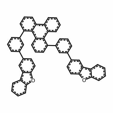 c1cc(-c2ccc3oc4ccccc4c3c2)cc(-c2cccc3c2c2ccccc2c2cccc(-c4cccc(-c5ccc6oc7ccccc7c6c5)c4)c23)c1